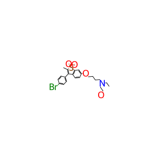 CCN(CCCCOc1ccc2c(c1)S(=O)(=O)C(C)=C2c1ccc(Br)cc1)CCOC